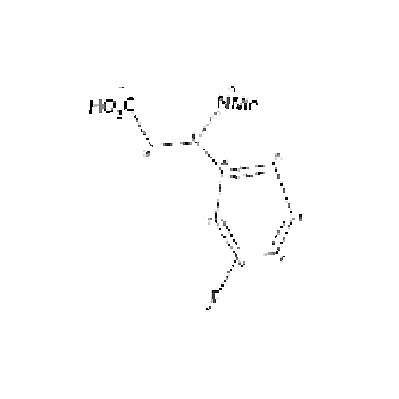 CN[C@@H](CC(=O)O)c1cccc(F)c1